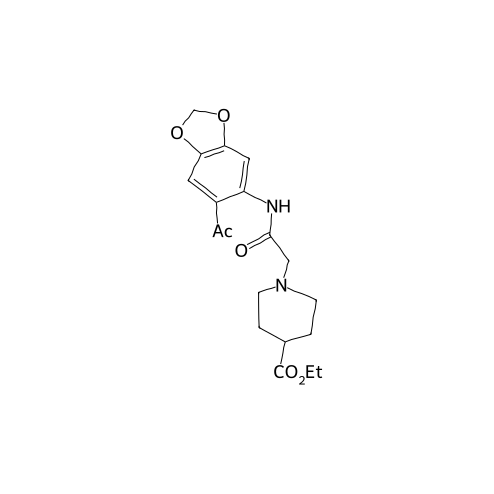 CCOC(=O)C1CCN(CC(=O)Nc2cc3c(cc2C(C)=O)OCO3)CC1